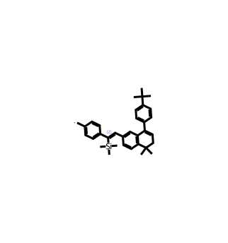 [CH2]c1ccc(/C(=C/c2ccc3c(c2)C(c2ccc(C(C)(C)C)cc2)=CCC3(C)C)[Si](C)(C)C)cc1